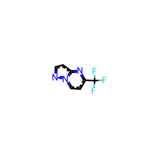 FC(F)(F)c1ccn2nccc2n1